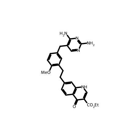 CCOC(=O)c1c[nH]c2cc(CCc3cc(Cc4cnc(N)nc4N)ccc3OC)ccc2c1=O